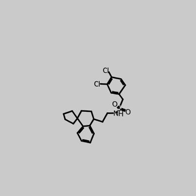 O=S(=O)(Cc1ccc(Cl)c(Cl)c1)NCCC1CCC2(CCCC2)c2ccccc21